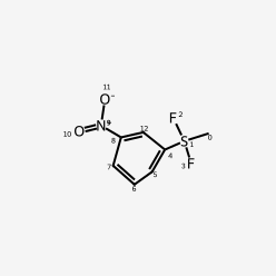 CS(F)(F)c1cccc([N+](=O)[O-])c1